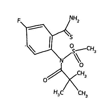 CC(C)(C)C(=O)N(c1c[c]c(F)cc1C(N)=S)S(C)(=O)=O